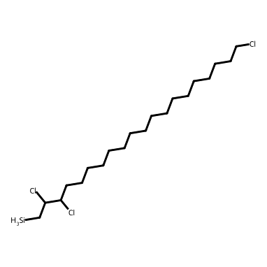 [SiH3]CC(Cl)C(Cl)CCCCCCCCCCCCCCCCCCl